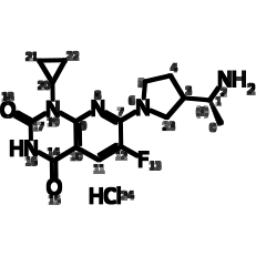 C[C@H](N)C1CCN(c2nc3c(cc2F)c(=O)[nH]c(=O)n3C2CC2)C1.Cl